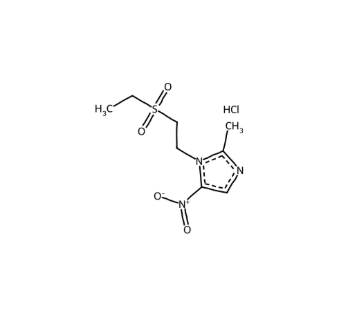 CCS(=O)(=O)CCn1c([N+](=O)[O-])cnc1C.Cl